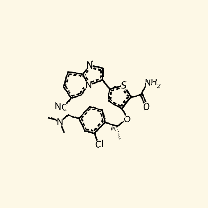 C[C@@H](Oc1cc(-c2cnc3ccc(C#N)cn23)sc1C(N)=O)c1ccc(CN(C)C)cc1Cl